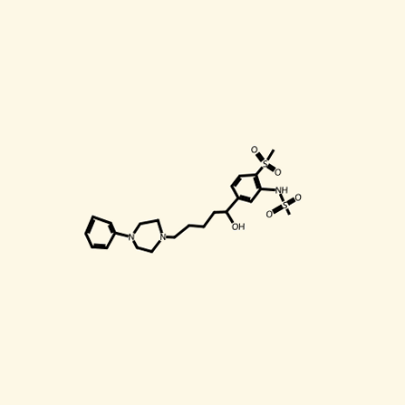 CS(=O)(=O)Nc1cc(C(O)CCCCN2CCN(c3ccccc3)CC2)ccc1S(C)(=O)=O